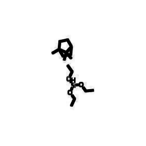 CC12CCC(CC1)C2(C)C.CCO[SiH](OCC)OCC